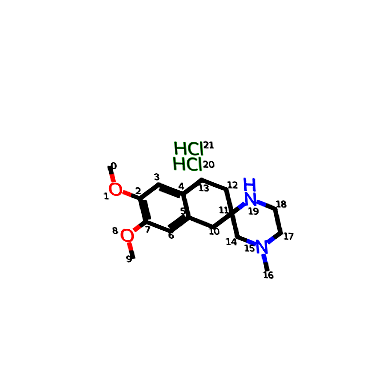 COc1cc2c(cc1OC)CC1(CC2)CN(C)CCN1.Cl.Cl